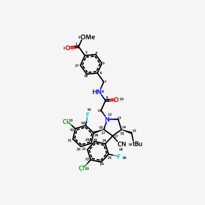 COC(=O)c1ccc(CNC(=O)CN2C[C@@H](CC(C)(C)C)C(C#N)(c3ccc(Cl)cc3F)[C@H]2c2cccc(Cl)c2F)cc1